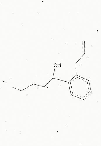 C=CCc1ccccc1C(O)CCCC